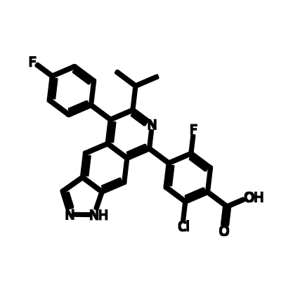 CC(C)c1nc(-c2cc(Cl)c(C(=O)O)cc2F)c2cc3[nH]ncc3cc2c1-c1ccc(F)cc1